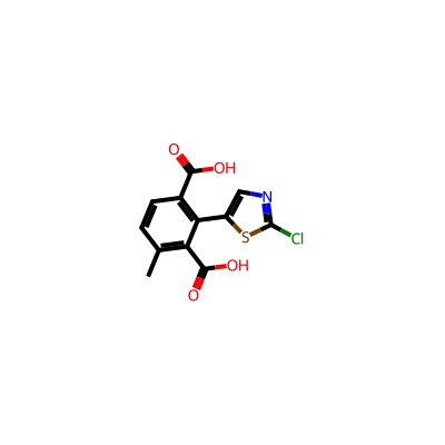 Cc1ccc(C(=O)O)c(-c2cnc(Cl)s2)c1C(=O)O